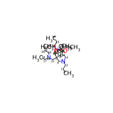 CCCN(CC)CC(CN(CC)CCC)(CN(CC)CCC)C[Si](C)(OCC)OCC